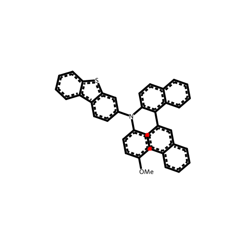 COc1ccc(N(c2ccc3c(c2)sc2ccccc23)c2ccc3ccccc3c2-c2ccc3ccccc3c2)cc1